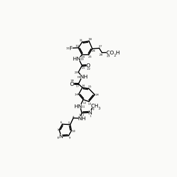 CN=C(NCc1ccncc1)Nc1cccc(C(=O)NCC(=O)Nc2cc(CCC(=O)O)ccc2F)c1